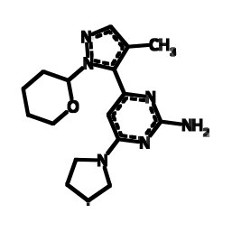 Cc1cnn(C2CCCCO2)c1-c1cc(N2C[CH]CC2)nc(N)n1